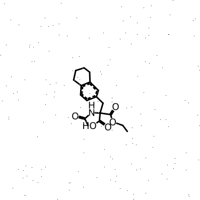 CCOC(=O)C(Cc1ccc2c(c1)CCCC2)(NC(C)=O)C(=O)O